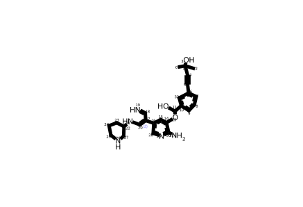 CC(C)(O)C#Cc1cccc(C(O)Oc2cc(/C(C=N)=C/NC3CCCNC3)cnc2N)c1